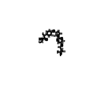 CCNC(=O)C(C)c1ccc(O[C@@H]2CCN(c3ncc(OCC4CC4(F)F)cn3)C2)cc1